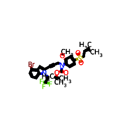 COc1cc(S(=O)(=O)CCC(C)C)ccc1N(CC#Cc1cc2c(Br)cccc2n1CC(F)(F)F)C(=O)OC(C)(C)C